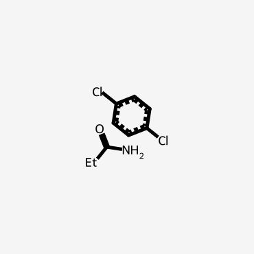 CCC(N)=O.Clc1ccc(Cl)cc1